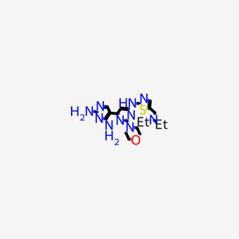 CCN(CC)Cc1cnc(Nc2cc(-c3cnc(N)nc3N)nc(N3CCOCC3)n2)s1